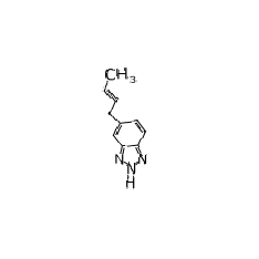 C/C=C/Cc1ccc2n[nH]nc2c1